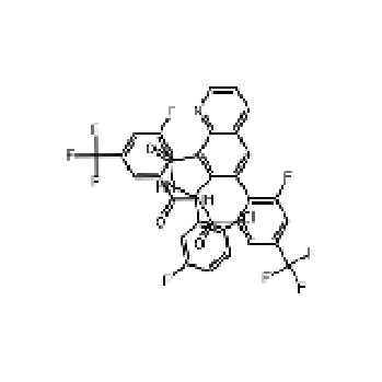 O=C(NC(=O)c1cc(C(F)(F)F)cc(F)c1-c1cc2cccnc2c2c1C(c1cc(F)ccc1Cl)NC2=O)c1cc(F)cc(C(F)(F)F)c1